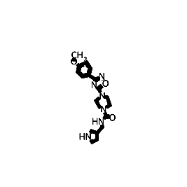 COc1ccc(-c2noc(N3CCN(C(=O)NCC4CCNC4)CC3)n2)cc1